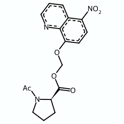 CC(=O)N1CCC[C@@H]1C(=O)OCOc1ccc([N+](=O)[O-])c2cccnc12